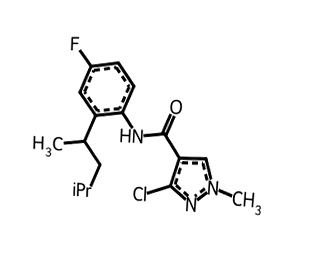 CC(C)CC(C)c1cc(F)ccc1NC(=O)c1cn(C)nc1Cl